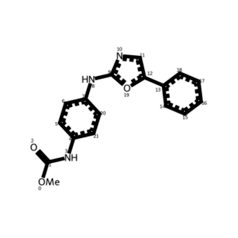 COC(=O)Nc1ccc(Nc2ncc(-c3ccccc3)o2)cc1